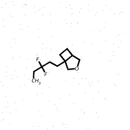 CCC(F)(F)CCC12CCC1COC2